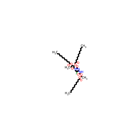 CCCCCCCCCCCC(=O)CO[C@@H]1[C@H](OC(=O)CCCCCCCCCCC)[C@@H](C)O[C@H]1n1cc(F)c(NC(=O)OC(C)OC(=O)CCCCCCCCCCC)nc1=O